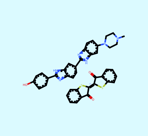 CN1CCN(c2ccc3nc(-c4ccc5nc(-c6ccc(O)cc6)[nH]c5c4)[nH]c3c2)CC1.O=C1/C(=C2\Sc3ccccc3C2=O)Sc2ccccc21